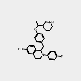 CC(Oc1ccc(CC2c3ccc(O)cc3CCN2c2ccc(F)cc2)cc1)C1CNCCO1